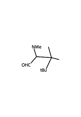 CNC(C=O)C(C)(C)C(C)(C)C